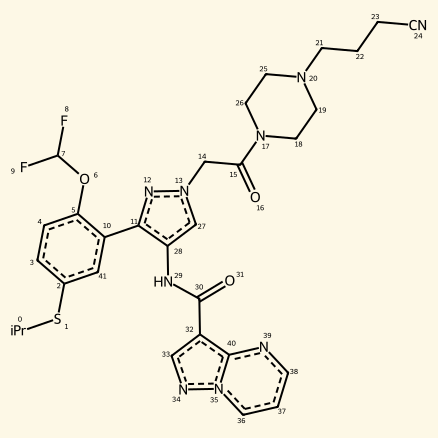 CC(C)Sc1ccc(OC(F)F)c(-c2nn(CC(=O)N3CCN(CCCC#N)CC3)cc2NC(=O)c2cnn3cccnc23)c1